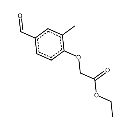 CCOC(=O)COc1ccc(C=O)cc1C